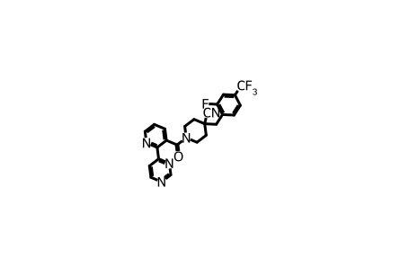 N#CC1(Cc2ccc(C(F)(F)F)cc2F)CCN(C(=O)c2cccnc2-c2ccncn2)CC1